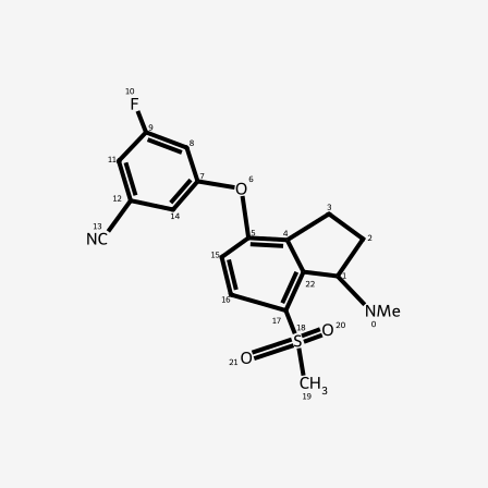 CNC1CCc2c(Oc3cc(F)cc(C#N)c3)ccc(S(C)(=O)=O)c21